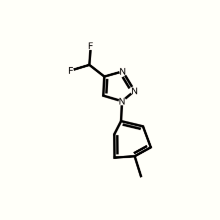 Cc1ccc(-n2cc(C(F)F)nn2)cc1